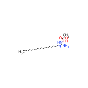 CCCCCCCCCCCCCCCCCCN=C(N)NOC(=O)C(C)O